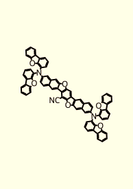 N#Cc1c2oc3cc4cc(N(c5cccc6c5oc5ccccc56)c5cccc6c5oc5ccccc56)ccc4cc3c2cc2oc3cc4cc(N(c5cccc6c5oc5ccccc56)c5cccc6c5oc5ccccc56)ccc4cc3c12